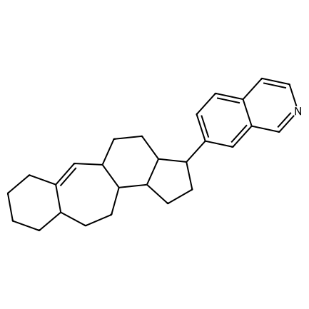 C1=C2CCCCC2CCC2C1CCC1C(c3ccc4ccncc4c3)CCC21